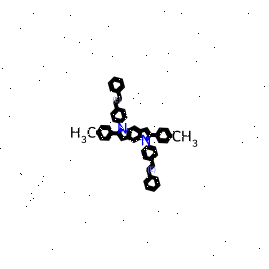 Cc1ccc(-c2cc3cc4c(cc(-c5ccc(C)cc5)n4-c4ccc(/C=C/c5ccccc5)cc4)cc3n2-c2ccc(/C=C/c3ccccc3)cc2)cc1